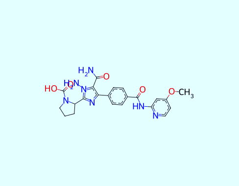 COc1ccnc(NC(=O)c2ccc(-c3nc(C4CCCN4C(=O)O)n(N)c3C(N)=O)cc2)c1